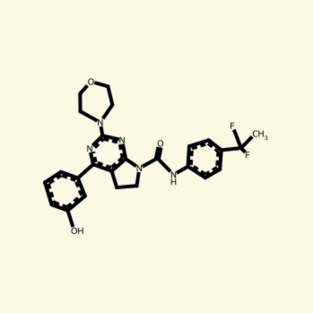 CC(F)(F)c1ccc(NC(=O)N2CCc3c(-c4cccc(O)c4)nc(N4CCOCC4)nc32)cc1